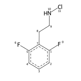 Fc1cccc(F)c1CCNCl